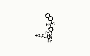 CC(C)c1nn(Cc2ccc(NC(=O)c3ccc4ccccc4c3)cc2)c(C(C)C)c1CC(=O)O